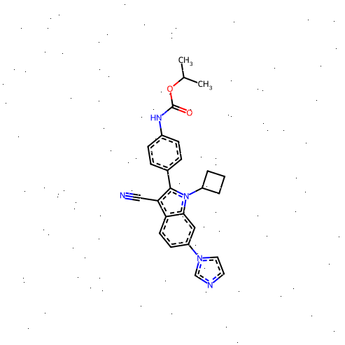 CC(C)OC(=O)Nc1ccc(-c2c(C#N)c3ccc(-n4ccnc4)cc3n2C2CCC2)cc1